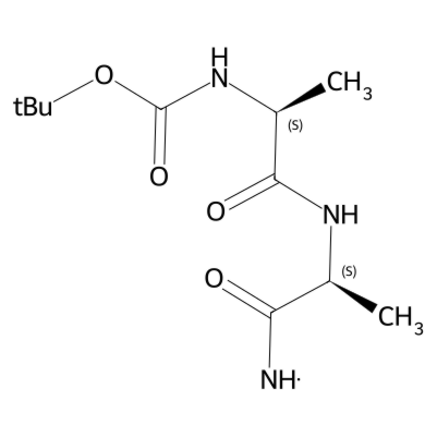 C[C@H](NC(=O)[C@H](C)NC(=O)OC(C)(C)C)C([NH])=O